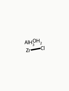 O.[AlH3].[Cl][Zr]